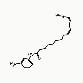 CCCCC/C=C\C/C=C\CCCCCCCC(=O)Nc1cccc(N)c1